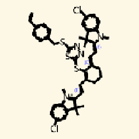 C=Cc1ccc(CSc2nnc(SC3=C(/C=C/C4=[N+](C)c5ccc(Cl)cc5C4(C)C)CCC/C3=C\C=C3\N(C)c4ccc(Cl)cc4C3(C)C)s2)cc1